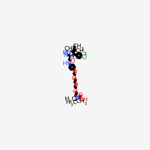 Cc1sc2c(c1C)C(c1ccc(Cl)cc1)=N[C@@H](CC(=O)Nc1ccc(OCCOCCOCCOCCN(C(=O)O)C(C)(C)C)cc1)c1nnc(C)n1-2